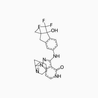 N#C[C@]12CCCCC1(n1nc(Nc3ccc4c(c3)CC3(CC3)C4(O)C(F)(F)F)c3c(=O)[nH]ccc31)C2